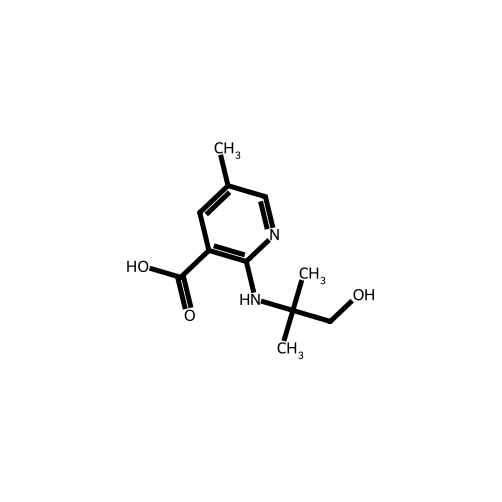 Cc1cnc(NC(C)(C)CO)c(C(=O)O)c1